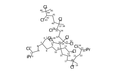 CC(C)C(Cl)CCC(CCl)CCCC(CCCl)(CCCC(C)(Cl)CCC(Cl)C(C)C)C(CCl)C(Cl)(CCl)CCC(Cl)C(C)(Cl)CCC(Cl)C(C)(C)Cl